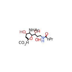 CCCC(=O)NC[C@H](O)[C@H](O)C1OC(C(=O)O)=C[C@@H](O)C1NC(C)=O